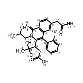 CC(C)Cn1c(C(NC(=O)O)C(C)(C)C)c(-c2ccccc2F)c2cc(CC(N)=O)ccc2c1=O